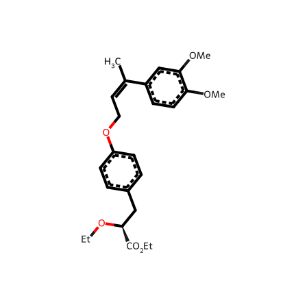 CCOC(=O)[C@H](Cc1ccc(OC/C=C(/C)c2ccc(OC)c(OC)c2)cc1)OCC